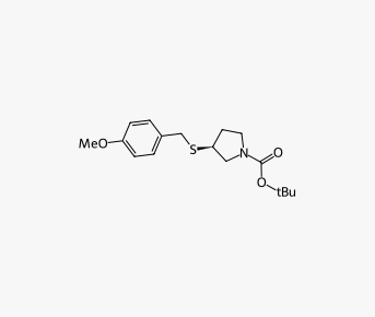 COc1ccc(CS[C@H]2CCN(C(=O)OC(C)(C)C)C2)cc1